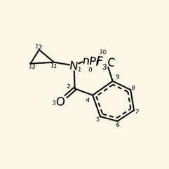 CCCN(C(=O)c1ccccc1C(F)(F)F)C1CC1